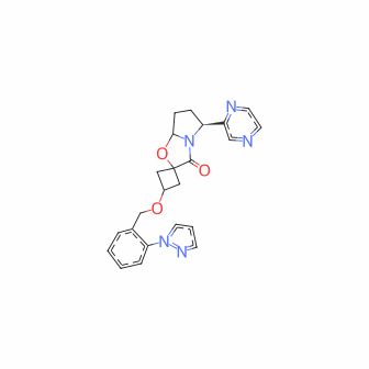 O=C1N2C(CC[C@H]2c2cnccn2)OC12CC(OCc1ccccc1-n1cccn1)C2